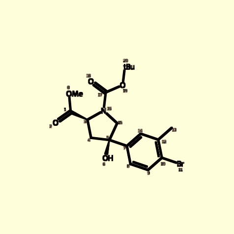 COC(=O)[C@@H]1C[C@@](O)(c2ccc(Br)c(C)c2)CN1C(=O)OC(C)(C)C